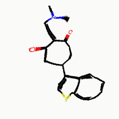 CN(C)C=C1C(=O)CC(c2csc3ccccc23)CC1=O